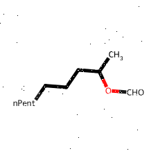 CCCCCCCCC(C)OC=O